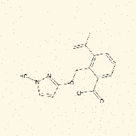 C=C(C)c1cccc(C(=O)Cl)c1COc1ccn(O)n1